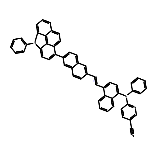 N#Cc1ccc(N(c2ccccc2)c2ccc(/C=C/c3ccc4cc(-c5ccc6c7c5ccc5cccc(c57)n6-c5ccccc5)ccc4c3)c3ccccc23)nc1